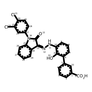 O=C(O)c1cccc(-c2cccc(NN=C3C(=O)N(c4ccc(Cl)c(Cl)c4)c4ccccc43)c2O)c1